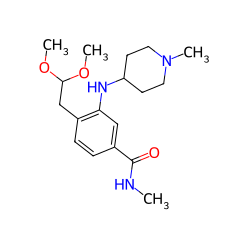 CNC(=O)c1ccc(CC(OC)OC)c(NC2CCN(C)CC2)c1